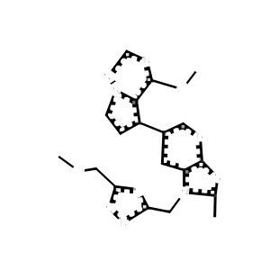 COCc1nnc(Cn2c(C)nc3ncc(-c4ccn5ncnc(OC)c45)cc32)o1